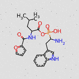 CC(C)CC(NC(=O)c1ccco1)C(=O)OP(=O)(O)C(N)Cc1c[nH]c2ccccc12